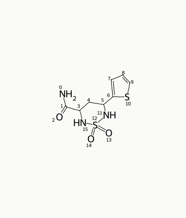 NC(=O)C1CC(c2cccs2)NS(=O)(=O)N1